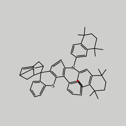 CC1(C)CCC(C)(C)c2cc(N(c3ccc4c(c3)C(C)(C)CCC4(C)C)c3ccc4c(c3-c3ccccc3)Sc3ccccc3C43C4CC5=CC(C4)CC53)ccc21